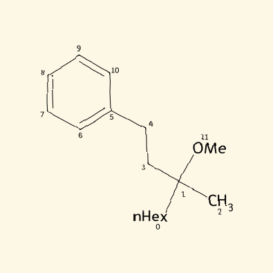 CCCCCCC(C)(CCc1cc[c]cc1)OC